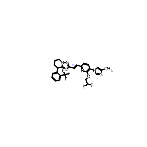 Cc1cn(-c2ccc(/C=C/c3nc4n(n3)CCCC4c3ccccc3C(F)(F)F)nc2OCC(F)F)cn1